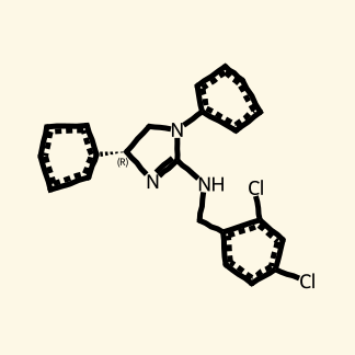 Clc1ccc(CNC2=N[C@H](c3ccccc3)CN2c2ccccc2)c(Cl)c1